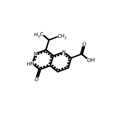 CC(C)c1n[nH]c(=O)c2ccc(C(=O)O)nc12